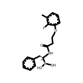 Cc1cccc(OCCC(=O)N[C@@H](Cc2ccccc2)B(O)O)c1F